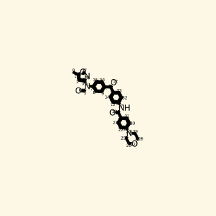 Cc1cc(N(C=O)c2ccc(C(=O)c3ccc(NC(=O)c4ccc(N5CCOCC5)cc4)cc3)cc2)no1